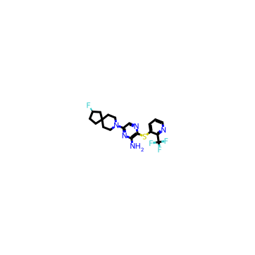 Nc1nc(N2CCC3(CC[C@@H](F)C3)CC2)cnc1Sc1cccnc1C(F)(F)F